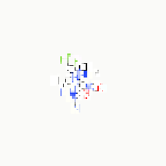 Cc1nc(N[C@H](C)c2cccc(C(F)F)c2F)c2cn(N3CCOCC3)c(=O)c(-c3cc(C#N)n[nH]3)c2n1